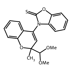 COC(OC)C1(C)C=C(n2c(=S)oc3ccccc32)c2ccccc2O1